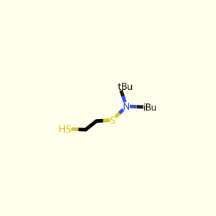 CCC(C)N(SCCS)C(C)(C)C